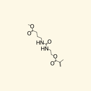 C=C(C)C(=O)OCCNC(=O)NCCCC(=O)OC